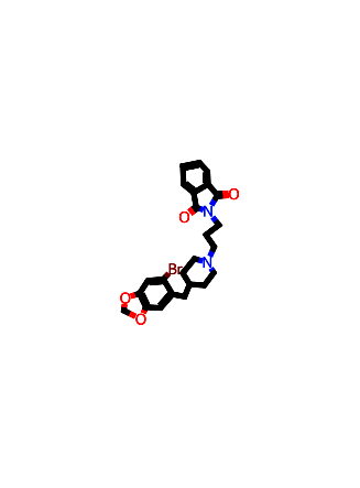 O=C1c2ccccc2C(=O)N1CCCN1CCC(Cc2cc3c(cc2Br)OCO3)CC1